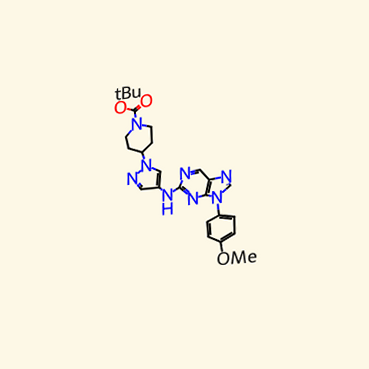 COc1ccc(-n2cnc3cnc(Nc4cnn(C5CCN(C(=O)OC(C)(C)C)CC5)c4)nc32)cc1